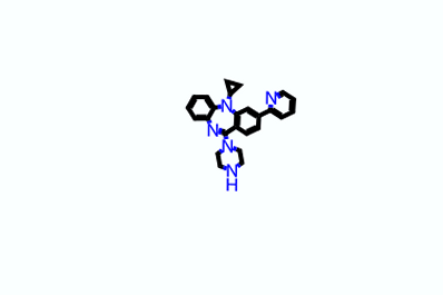 c1ccc(-c2ccc3c(c2)N(C2CC2)c2ccccc2N=C3N2CCNCC2)nc1